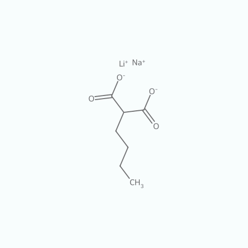 CCCCC(C(=O)[O-])C(=O)[O-].[Li+].[Na+]